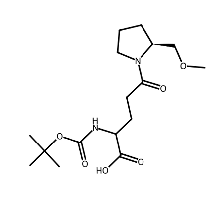 COC[C@@H]1CCCN1C(=O)CCC(NC(=O)OC(C)(C)C)C(=O)O